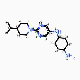 CC(C)C1CCN(c2ncc(NC3CCC(N)CC3)cn2)CC1